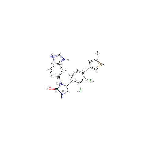 CCc1cc(-c2ccc(C3CNC(=O)N3c3ccc4[nH]cnc4c3)c(F)c2F)cs1